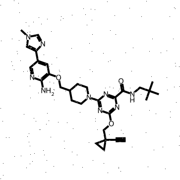 C#CC1(COc2nc(C(=O)NCC(C)(C)C)nc(N3CCC(COc4cc(-c5cn(C)cn5)cnc4N)CC3)n2)CC1